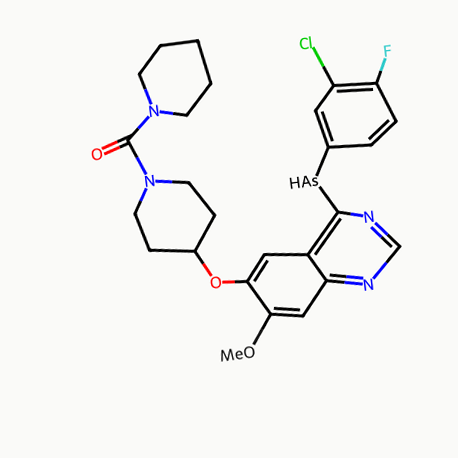 COc1cc2ncnc([AsH]c3ccc(F)c(Cl)c3)c2cc1OC1CCN(C(=O)N2CCCCC2)CC1